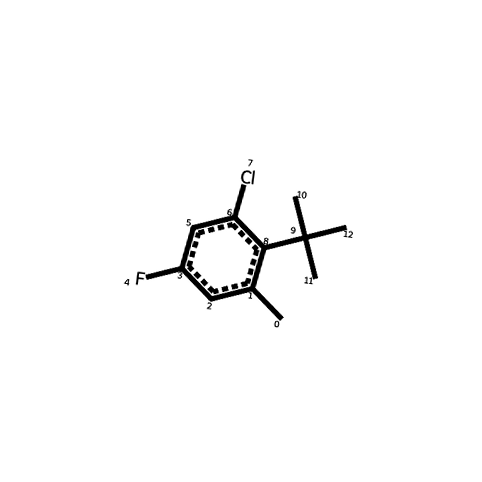 Cc1cc(F)cc(Cl)c1C(C)(C)C